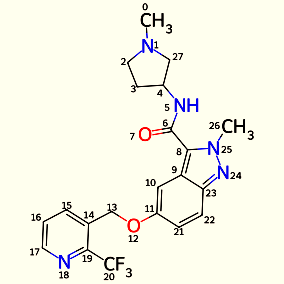 CN1CCC(NC(=O)c2c3cc(OCc4cccnc4C(F)(F)F)ccc3nn2C)C1